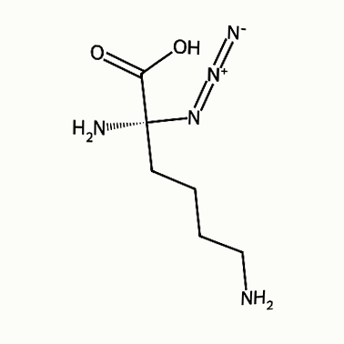 [N-]=[N+]=N[C@@](N)(CCCCN)C(=O)O